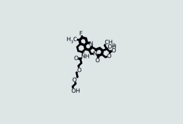 CC[C@@]1(O)C(=O)OCc2c1cc1n(c2=O)Cc2c-1nc1cc(F)c(C)c3c1c2[C@@H](NC(=O)CCOCCOCCO)CC3